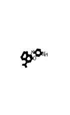 CC(C)c1cc2oc3cc(=N)ccc-3nc2c2ccccc12